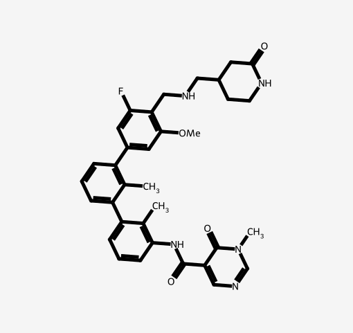 COc1cc(-c2cccc(-c3cccc(NC(=O)c4cncn(C)c4=O)c3C)c2C)cc(F)c1CNCC1CCNC(=O)C1